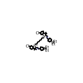 CCN(CC)c1ccc(/C=C/C2=[N+](CCCCCCCC[N+]3=C(/C=C/c4ccc(N(CC)CC)cc4)C(C)(C)c4ccc(Cl)cc43)c3cc(Cl)ccc3C2(C)C)cc1